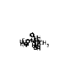 CN1C(=O)c2c(cn(Cc3ccc(C(=O)C(F)(F)F)c(F)c3)c2Nc2ccccc2)N2C1=N[C@@H]1CCC[C@@H]12